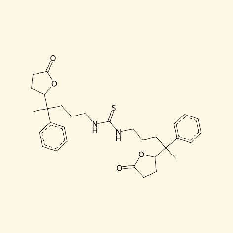 CC(CCCNC(=S)NCCCC(C)(c1ccccc1)C1CCC(=O)O1)(c1ccccc1)C1CCC(=O)O1